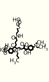 CCCC[N+]1=C(/C=C/c2c(O)c3ccc(N(CC)CC)cc3oc2=O)C(C)(CCCC(=O)NCCCSOOO)c2cc(S(=O)(=O)O)ccc21